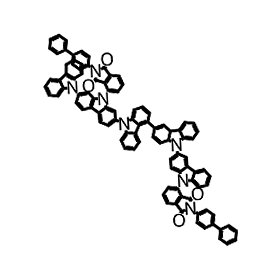 O=C1c2cccc(-n3c4ccccc4c4cc(N5c6ccccc6C6C=C(c7cccc8c7c7ccccc7n8-c7ccc8c9ccc(-n%10c%11c(c%12ccccc%12%10)CCC=C%11)cc9n(-c9cccc%10c9C(=O)N(c9ccc(-c%11ccccc%11)cc9)C%10=O)c8c7)C=CC65)ccc43)c2C(=O)N1c1ccc(-c2ccccc2)cc1